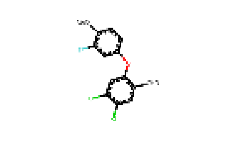 COc1ccc(Oc2cc(Cl)c(Cl)cc2C=O)cc1F